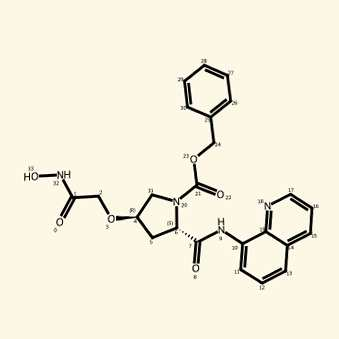 O=C(CO[C@@H]1C[C@@H](C(=O)Nc2cccc3cccnc23)N(C(=O)OCc2ccccc2)C1)NO